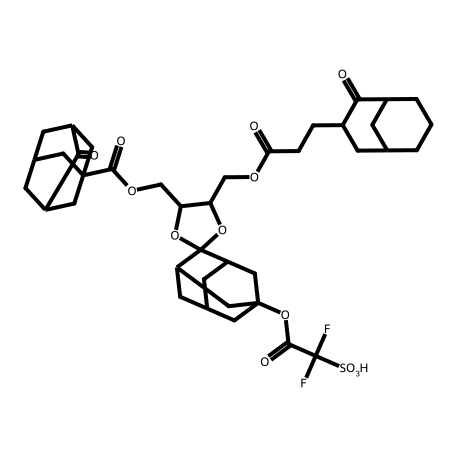 O=C(CCC1CC2CCCC(C2)C1=O)OCC1OC2(OC1COC(=O)C13CC4CC(C1)C(=O)C(C4)C3)C1CC3CC2CC(OC(=O)C(F)(F)S(=O)(=O)O)(C3)C1